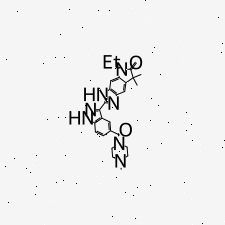 CCN1C(=O)C(C)(C)c2cc3nc(-c4n[nH]c5ccc(C(=O)N6CCN(C)CC6)cc45)[nH]c3cc21